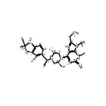 CCn1c(CC#N)nc2c(N3C[C@@H](C)N(C(C)c4ccc5c(c4F)OC(C)(C)O5)C[C@@H]3C)nc(=O)n(C)c21